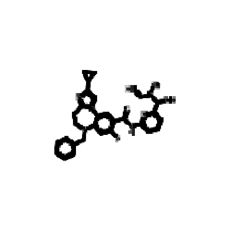 CC(C)N(C=N)C(=N)c1cccc(NC(=O)c2cc3c(cc2F)N(Cc2ccccc2)CCc2nc(C4CC4)cn2-3)n1